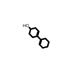 OC1CC=C(C2=CCCCC2)CC1